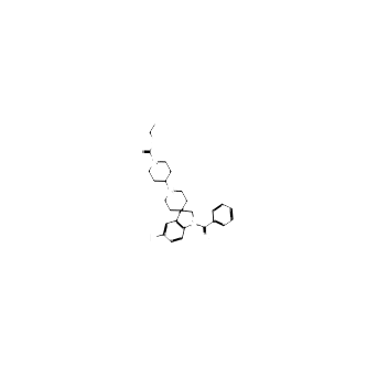 CCOC(=O)N1CCC(N2CCC3(CC2)CN(C(=O)c2ccccc2)c2ccc(F)cc23)CC1